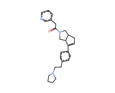 O=C(Cc1cccnc1)N1CC2CC=C(c3ccc(CCN4CCCC4)cc3)C2C1